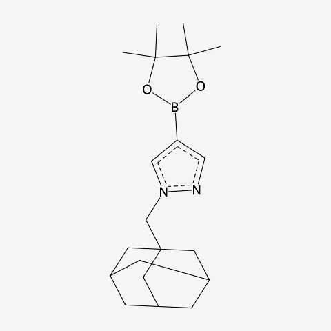 CC1(C)OB(c2cnn(CC34CC5CC(CC(C5)C3)C4)c2)OC1(C)C